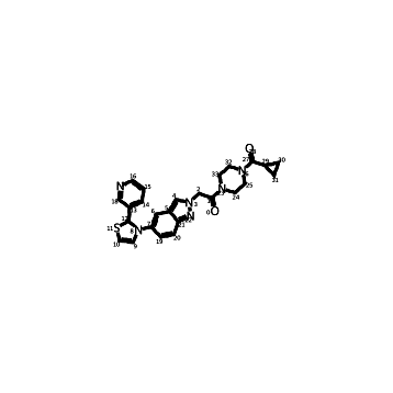 O=C(Cn1cc2cc(N3C=CSC3c3cccnc3)ccc2n1)N1CCN(C(=O)C2CC2)CC1